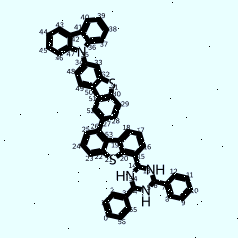 c1ccc(C2NC(c3ccccc3)NC(c3cccc4c3sc3cccc(-c5ccc6sc7cc(-n8c9ccccc9c9ccccc98)ccc7c6c5)c34)N2)cc1